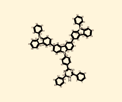 c1ccc(C2=NC(c3ccc(-n4c5ccc(-c6ccc7c(c6)c6ccccc6n7-c6ccccc6)cc5c5cc(-c6ccc7c(c6)c6ccccc6n7-c6ccccc6)ccc54)cc3)=NC(c3ccccc3)N2)cc1